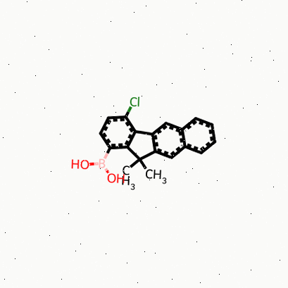 CC1(C)c2cc3ccccc3cc2-c2c(Cl)ccc(B(O)O)c21